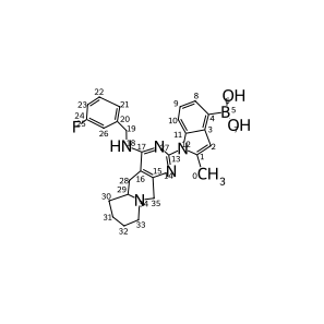 Cc1cc2c(B(O)O)cccc2n1-c1nc2c(c(NCc3cccc(F)c3)n1)CC1CCCCN1C2